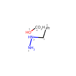 CC(C)CNN.O=C(O)O